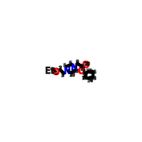 CCOCCN1CCN(CC(=O)Oc2ccccc2)CC1